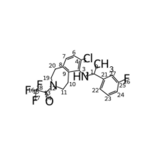 CC(Nc1c(Cl)ccc2c1CCN(C(=O)C(F)(F)F)CC2)c1cccc(F)c1